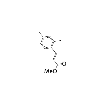 COC(=O)/C=C/c1ccc(C)cc1C